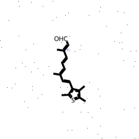 CC(C=Cc1c(C)sc(C)c1C)=CC=C/C(C)=C/C=O